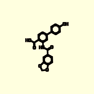 O=C(Nc1cc(-c2ccc(O)cc2)ccc1C(=O)O)c1ccc2c(c1)OCO2